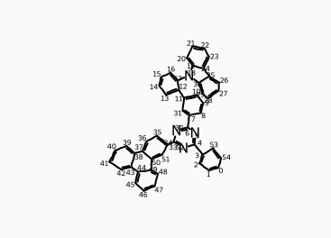 c1ccc(-c2nc(-c3cccc(-c4ccccc4-n4c5ccccc5c5ccccc54)c3)nc(-c3ccc4c5ccccc5c5ccccc5c4c3)n2)cc1